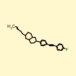 CC=CCCC1CCC2CC(c3ccc(C#Cc4ccc(F)cc4)cc3)CCC2C1